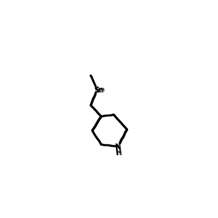 [CH3][Sn][CH2]C1CCNCC1